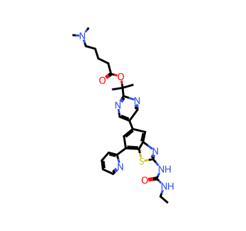 CCNC(=O)Nc1nc2cc(-c3cnc(C(C)(C)OC(=O)CCCCN(C)C)nc3)cc(-c3ccccn3)c2s1